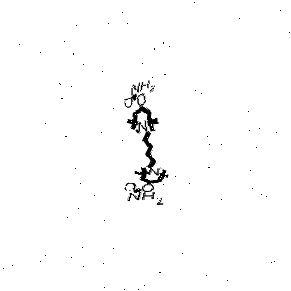 CC1(C)CC(OC(N)=O)CC(C)(C)[N+]1(C)CCCCCC[N+]1(C)C(C)(C)CC(OC(N)=O)CC1(C)C